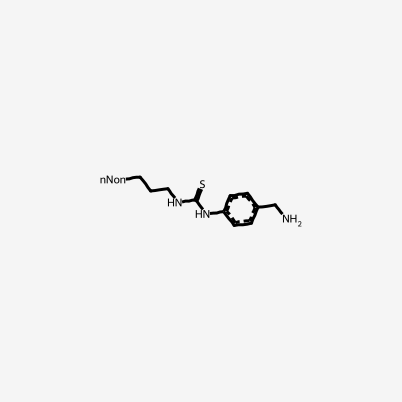 CCCCCCCCCCCCNC(=S)Nc1ccc(CN)cc1